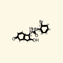 O=C1C=CC2=C(C1)CC(O)C2NC(=O)Nc1ccccc1Br